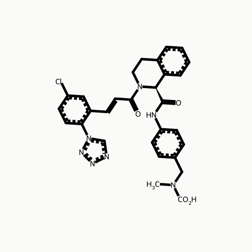 CN(Cc1ccc(NC(=O)[C@@H]2c3ccccc3CCN2C(=O)/C=C/c2cc(Cl)ccc2-n2cnnn2)cc1)C(=O)O